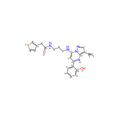 Bc1cnn2c(NCCCNC(=O)Cc3ccsc3)cc(-c3ccccc3O)nc12